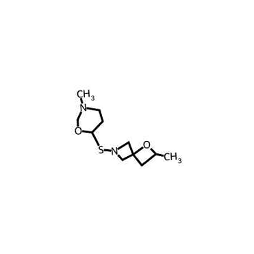 CC1CC2(CN(SC3CCN(C)CO3)C2)O1